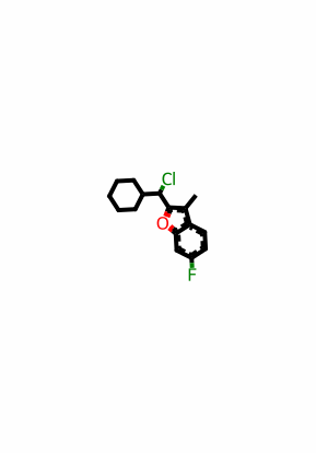 Cc1c(C(Cl)C2CCCCC2)oc2cc(F)ccc12